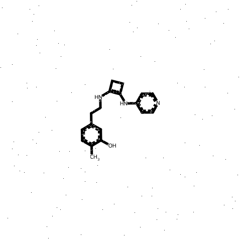 Cc1ccc(CCNC2=C(Nc3ccncc3)CC2)cc1O